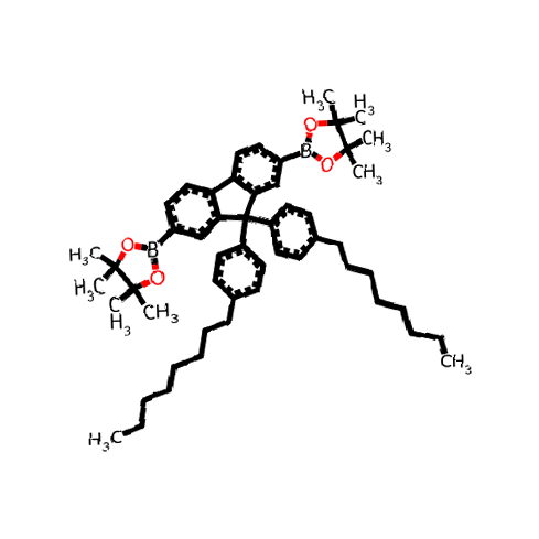 CCCCCCCCc1ccc(C2(c3ccc(CCCCCCCC)cc3)c3cc(B4OC(C)(C)C(C)(C)O4)ccc3-c3ccc(B4OC(C)(C)C(C)(C)O4)cc32)cc1